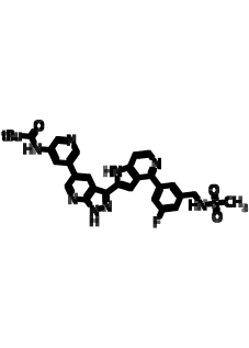 CC(C)(C)C(=O)Nc1cncc(-c2cnc3[nH]nc(-c4cc5c(-c6cc(F)cc(CNS(C)(=O)=O)c6)nccc5[nH]4)c3c2)c1